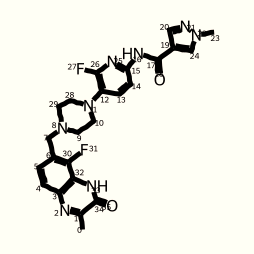 Cc1nc2ccc(CN3CCN(c4ccc(NC(=O)c5cnn(C)c5)nc4F)CC3)c(F)c2[nH]c1=O